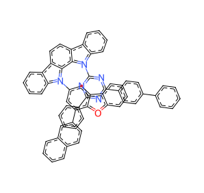 c1ccc(-c2ccc(-c3nc(-c4ccccc4)nc(-n4c5ccccc5c5ccc6c7ccccc7n(-c7cc(-c8ccc9ccccc9c8)c8oc9ccccc9c8c7)c6c54)n3)cc2)cc1